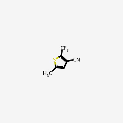 Cc1cc(C#N)c(C(F)(F)F)s1